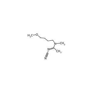 COCCCCN(C)C(C)=NC#N